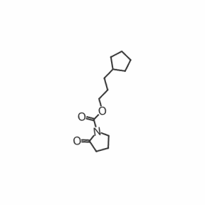 O=C1CCCN1C(=O)OCCCC1CCCC1